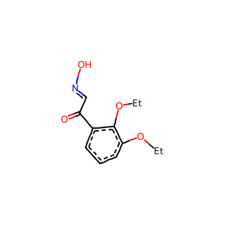 CCOc1cccc(C(=O)C=NO)c1OCC